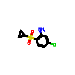 Nc1cc(Cl)ccc1S(=O)(=O)C1CC1